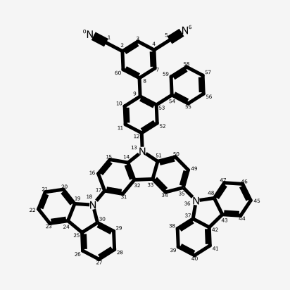 N#Cc1cc(C#N)cc(-c2ccc(-n3c4ccc(-n5c6ccccc6c6ccccc65)cc4c4cc(-n5c6ccccc6c6ccccc65)ccc43)cc2-c2ccccc2)c1